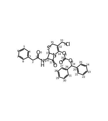 O=C(Cc1ccccc1)NC1C(=O)N2C(OC(=O)OC(c3ccccc3)c3ccccc3)=C(CCl)CSC12